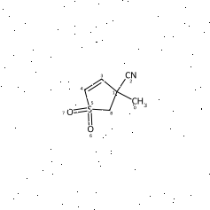 CC1(C#N)C=CS(=O)(=O)C1